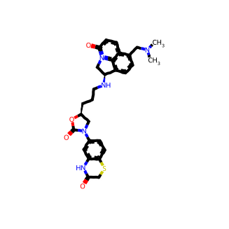 CN(C)Cc1ccc2c3c1ccc(=O)n3C[C@@H]2NCCC[C@H]1CN(c2ccc3c(c2)NC(=O)CS3)C(=O)O1